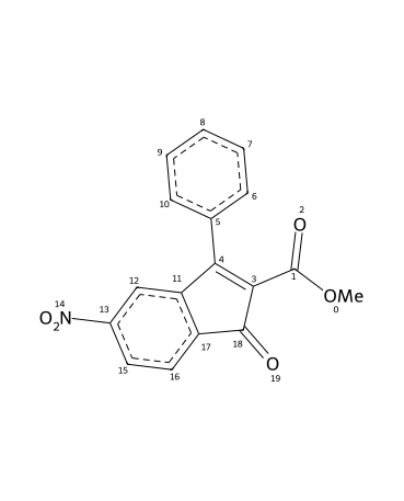 COC(=O)C1=C(c2ccccc2)c2cc([N+](=O)[O-])ccc2C1=O